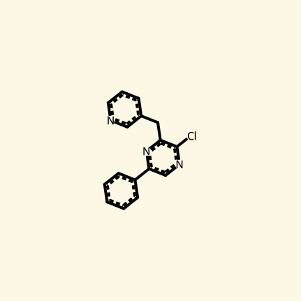 Clc1ncc(-c2ccccc2)nc1Cc1cccnc1